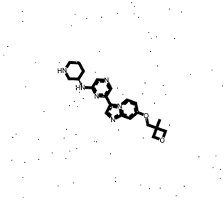 CC1(COc2ccn3c(-c4cncc(N[C@@H]5CCCNC5)n4)cnc3c2)COC1